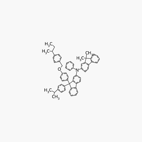 CCC(C)c1ccc(COc2ccc(C3(c4ccc(C(C)C)cc4)c4ccccc4-c4ccc(N(c5ccccc5)c5ccc6c(c5)C(C)(C)c5ccccc5-6)cc43)cc2)cc1